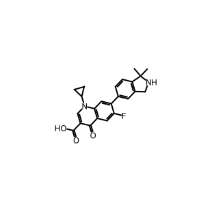 CC1(C)NCc2cc(-c3cc4c(cc3F)c(=O)c(C(=O)O)cn4C3CC3)ccc21